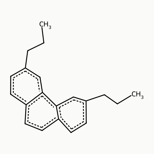 CCCc1ccc2ccc3ccc(CCC)cc3c2c1